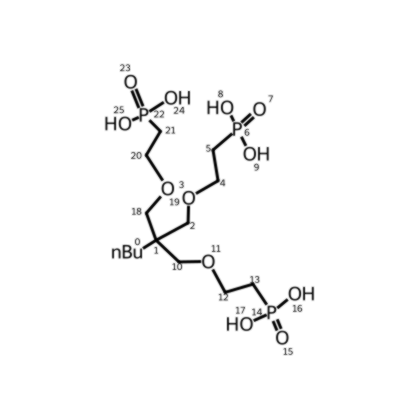 CCCCC(COCCP(=O)(O)O)(COCCP(=O)(O)O)COCCP(=O)(O)O